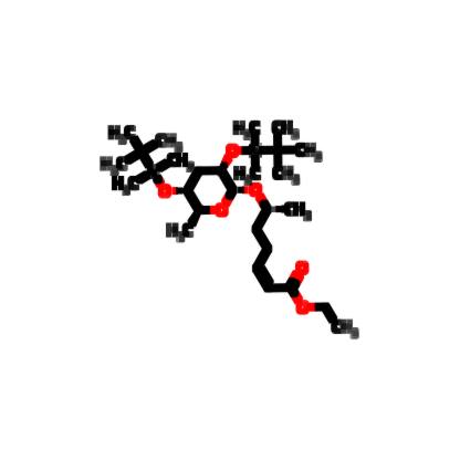 CCOC(=O)/C=C\CC[C@@H](C)O[C@@H]1O[C@@H](C)[C@H](O[Si](C)(C)C(C)(C)C)C[C@H]1O[Si](C)(C)C(C)(C)C